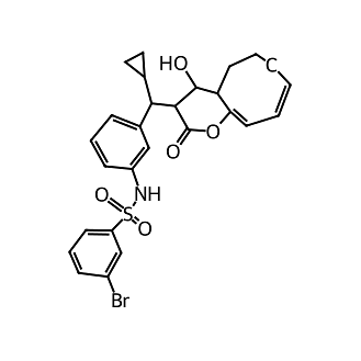 O=C1OC2=CC=CCCCC2C(O)C1C(c1cccc(NS(=O)(=O)c2cccc(Br)c2)c1)C1CC1